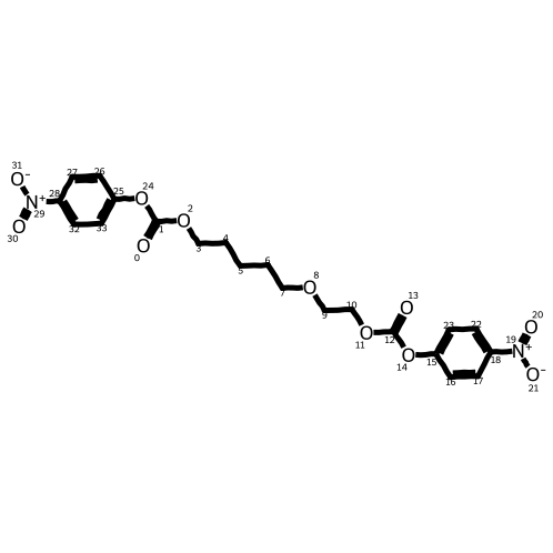 O=C(OCCCCCOCCOC(=O)Oc1ccc([N+](=O)[O-])cc1)Oc1ccc([N+](=O)[O-])cc1